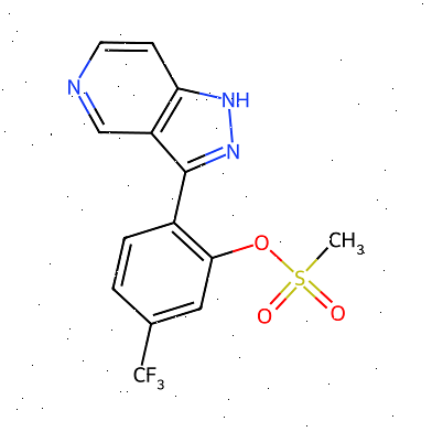 CS(=O)(=O)Oc1cc(C(F)(F)F)ccc1-c1n[nH]c2ccncc12